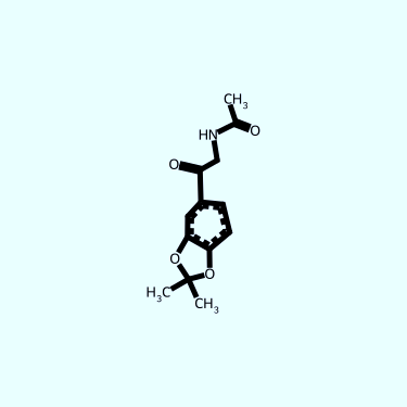 CC(=O)NCC(=O)c1ccc2c(c1)OC(C)(C)O2